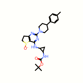 Cc1ccc(C2CCN(c3nc4c(c(NC5CC5NC(=O)OC(C)(C)C)n3)[S+]([O-])CC4)CC2)cc1